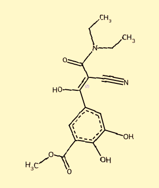 CCN(CC)C(=O)/C(C#N)=C(\O)c1cc(O)c(O)c(C(=O)OC)c1